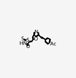 CC(=O)c1ccc(C#Cc2cncc3cc(/C=C4\SC(=S)NC4=O)oc23)cc1